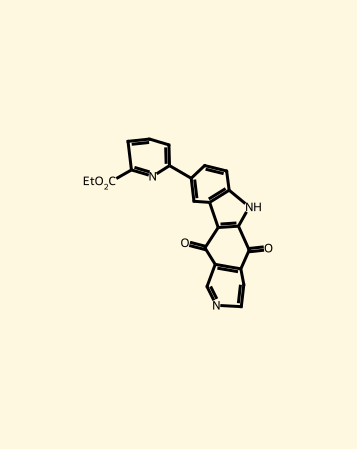 CCOC(=O)c1cccc(-c2ccc3[nH]c4c(c3c2)C(=O)c2cnccc2C4=O)n1